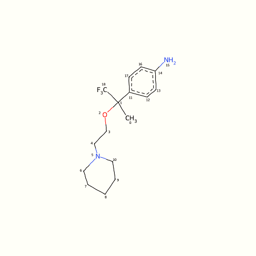 CC(OCCN1CCCCC1)(c1ccc(N)cc1)C(F)(F)F